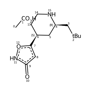 CC(=O)O.CC(C)(C)C[C@H]1C[C@@H](c2cc(=O)[nH]o2)CCN1